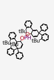 CC(C)(C)c1ccccc1C1=CC(c2ccccc2)(c2ccccc2C(C)(C)C)C=CC1OPOC1C=CC(c2ccccc2)(c2ccccc2C(C)(C)C)C=C1c1ccccc1C(C)(C)C